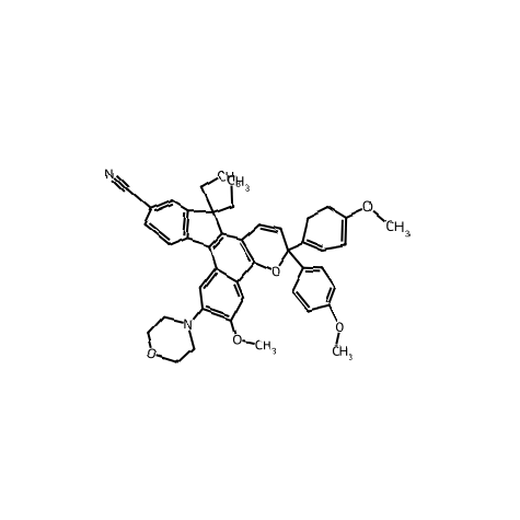 CCC1(CC)c2cc(C#N)ccc2-c2c1c1c(c3cc(OC)c(N4CCOCC4)cc23)OC(C2=CC=C(OC)CC2)(c2ccc(OC)cc2)C=C1